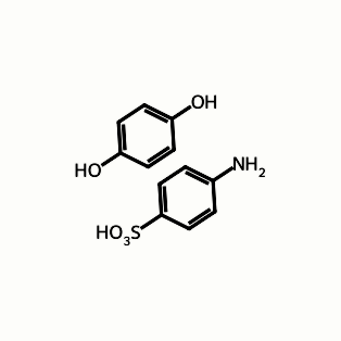 Nc1ccc(S(=O)(=O)O)cc1.Oc1ccc(O)cc1